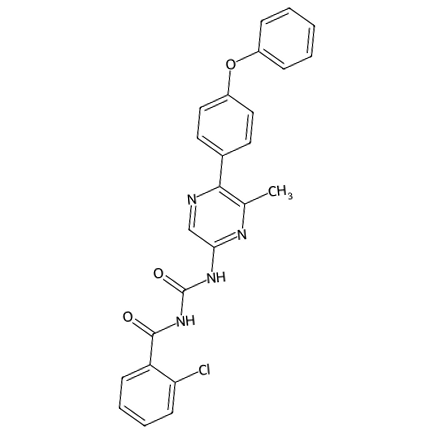 Cc1nc(NC(=O)NC(=O)c2ccccc2Cl)cnc1-c1ccc(Oc2ccccc2)cc1